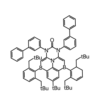 CC(C)(C)CC1=C(B2C=C3N(c4cccc(-c5ccccc5)c4)C(=O)N(c4cccc(-c5ccccc5)c4)C4=CB(c5c(CC(C)(C)C)cccc5CC(C)(C)C)c5cc(C(C)(C)C)cc2c5N34)C(CC(C)(C)C)CC=C1